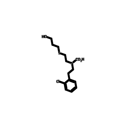 O=C(O)N(CCSCCCO)CCc1ccccc1Cl